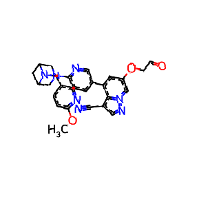 COc1ccc(CN2C3CC2CN(c2ccc(-c4cc(OCC=O)cn5ncc(C#N)c45)cn2)C3)cn1